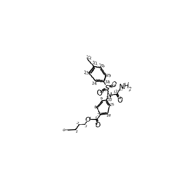 CCCCOC(=O)c1ccc(N(C(N)=O)S(=O)(=O)c2ccc(C)cc2)cc1